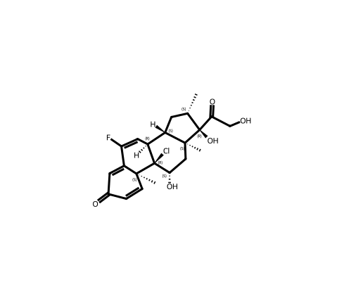 C[C@H]1C[C@H]2[C@@H]3C=C(F)C4=CC(=O)C=C[C@]4(C)[C@@]3(Cl)[C@@H](O)C[C@]2(C)[C@@]1(O)C(=O)CO